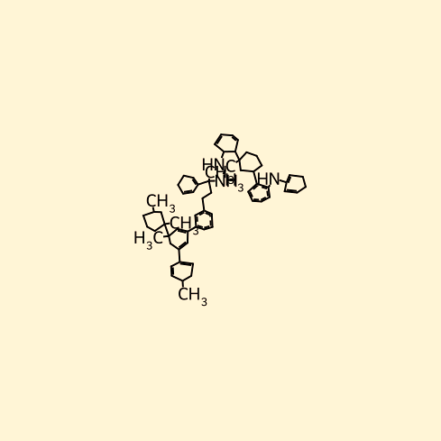 CC1C=CC(C2=CC(c3cccc(CCC(C)(NCNC4C=CC=CC4C4(C)CCCC(c5ccccc5NC5=CCCC=C5)C4)C4=CCCC=C4)c3)=CC(C)(C3(C)CCCC(C)C3)C2)=CC1